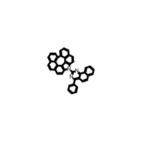 c1ccc(-c2nc(-n3c4ccc5cccc6c5c4c4c5c(ccc7cccc-6c75)ccc43)nc3c2ccc2ccccc23)cc1